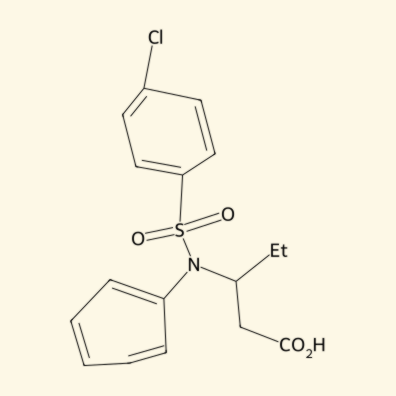 CCC(CC(=O)O)N(c1ccccc1)S(=O)(=O)c1ccc(Cl)cc1